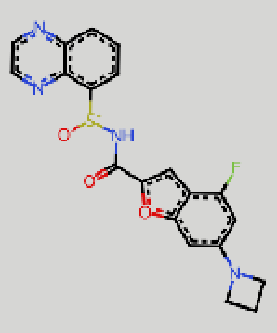 O=C(N[S+]([O-])c1cccc2nccnc12)c1cc2c(F)cc(N3CCC3)cc2o1